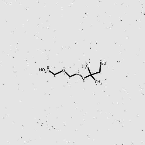 CC(C)(C)CC(C)(C)OOCOCC(=O)O